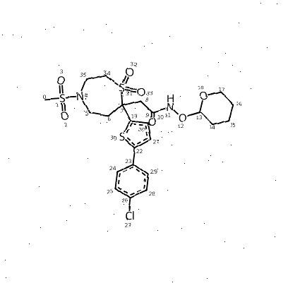 CS(=O)(=O)N1CCC(CC(=O)NOC2CCCCO2)(c2ccc(-c3ccc(Cl)cc3)s2)S(=O)(=O)CC1